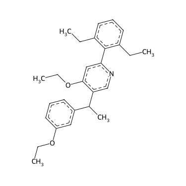 CCOc1cccc(C(C)c2cnc(-c3c(CC)cccc3CC)cc2OCC)c1